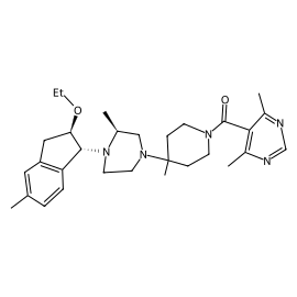 CCO[C@@H]1Cc2cc(C)ccc2[C@H]1N1CCN(C2(C)CCN(C(=O)c3c(C)ncnc3C)CC2)C[C@@H]1C